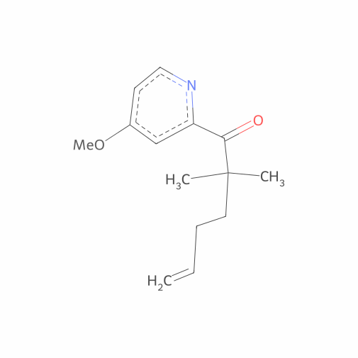 C=CCCC(C)(C)C(=O)c1cc(OC)ccn1